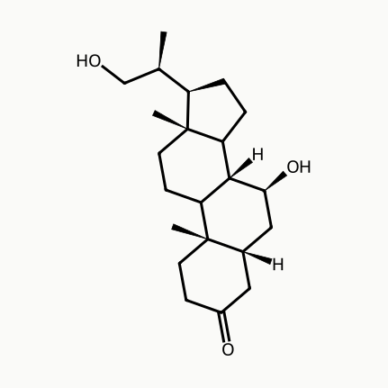 C[C@H](CO)[C@H]1CCC2[C@H]3C(CC[C@@]21C)[C@@]1(C)CCC(=O)C[C@H]1C[C@@H]3O